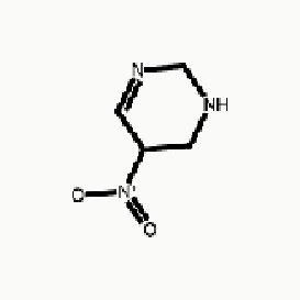 O=[N+]([O-])C1C=NCNC1